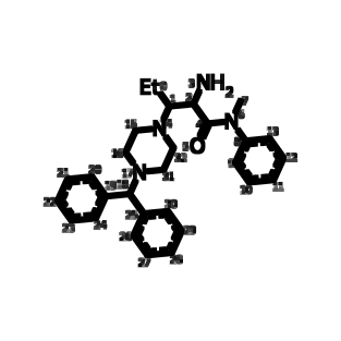 CCC(C(N)C(=O)N(C)c1ccccc1)N1CCN(C(c2ccccc2)c2ccccc2)CC1